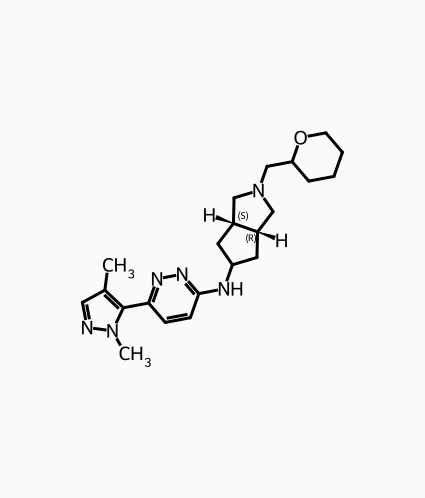 Cc1cnn(C)c1-c1ccc(NC2C[C@@H]3CN(CC4CCCCO4)C[C@@H]3C2)nn1